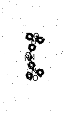 c1ccc2c(c1)Oc1ccccc1N2c1ccc(-c2nsc(-c3ccc(N4c5ccccc5Oc5ccccc54)cc3)n2)cc1